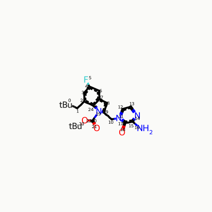 CC(C)(C)Cc1cc(F)cc2cc(Cn3ccnc(N)c3=O)n(C(=O)OC(C)(C)C)c12